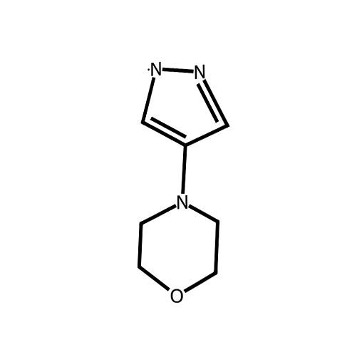 C1=N[N]C=C1N1CCOCC1